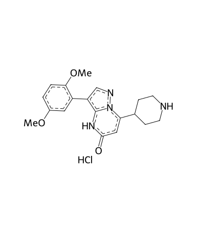 COc1ccc(OC)c(-c2cnn3c(C4CCNCC4)cc(=O)[nH]c23)c1.Cl